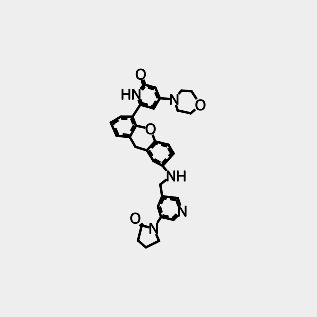 O=C1CCCN1c1cncc(CNc2ccc3c(c2)Cc2cccc(-c4cc(N5CCOCC5)cc(=O)[nH]4)c2O3)c1